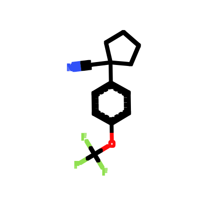 N#CC1(c2ccc(OC(F)(F)F)cc2)CCCC1